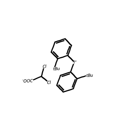 CC(C)(C)c1ccccc1[I+]c1ccccc1C(C)(C)C.O=C([O-])C(Cl)Cl